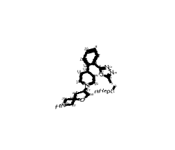 CCCCCCCC.Cc1nnc(-c2ccccc2C2CCN(C3COC4(CNC4)C3)CC2)o1